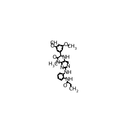 C=CC(=O)Nc1ccccc1Nc1ncc2c(n1)N(C)C(=O)C(c1cc(OC)cc(OC)c1)N2